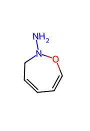 NN1CC=CC=CO1